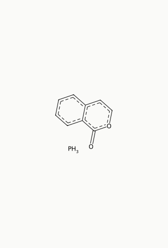 O=c1occc2ccccc12.P